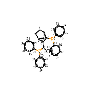 C[C@H](C1=C2CCC(=C1P(c1ccccc1)c1ccccc1)C2)P(c1ccccc1)c1ccccc1